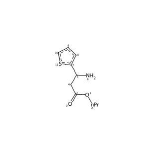 CCCOC(=O)CC(N)c1cccs1